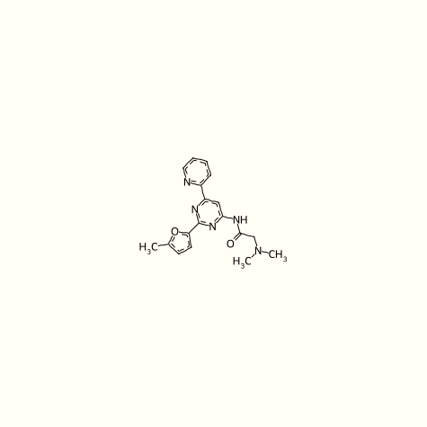 Cc1ccc(-c2nc(NC(=O)CN(C)C)cc(-c3ccccn3)n2)o1